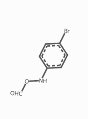 O=CONc1ccc(Br)cc1